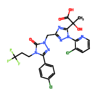 CC(O)(C(=O)O)c1nc(Cn2nc(-c3ccc(Cl)cc3)n(CCC(F)(F)F)c2=O)nn1-c1ncccc1Cl